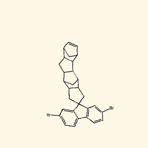 Brc1ccc2c(c1)C1(CC3C(C1)C1CC3C3CC4C5C=CC(C5)C4C13)c1cc(Br)ccc1-2